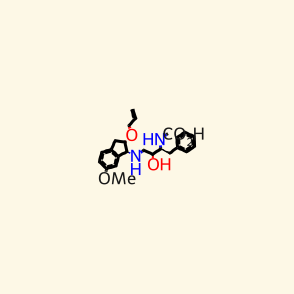 C=CCO[C@@H]1Cc2ccc(OC)cc2[C@H]1NC[C@H](O)[C@H](Cc1ccccc1)NC(=O)O